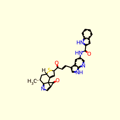 C[C@@H]1C[C@@H]2SC(C(=O)/C=C/c3c[nH]c4ncc(NC(=O)c5cc6ccccc6[nH]5)cc34)C=C2C23C(=O)C2=CN=C13